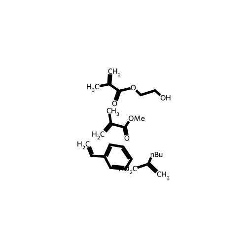 C=C(C)C(=O)OC.C=C(C)C(=O)OCCO.C=C(CCCC)C(=O)O.C=Cc1ccccc1